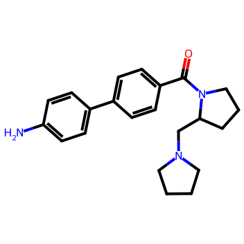 Nc1ccc(-c2ccc(C(=O)N3CCCC3CN3CCCC3)cc2)cc1